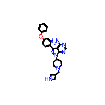 Nc1ncnc2c1c(-c1ccc(Oc3ccccc3)cc1)nn2C1CCN(CC2CNC2)CC1